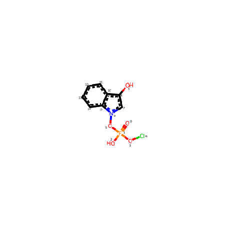 O=P(O)(OCl)On1cc(O)c2ccccc21